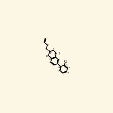 C=CCC[C@H]1CNc2cc(-c3ccccc3Cl)ccc2C1